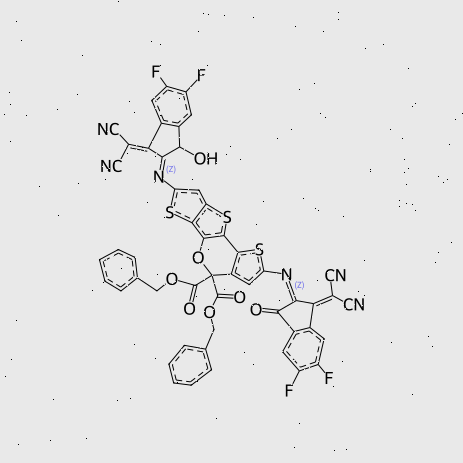 N#CC(C#N)=C1/C(=N/c2cc3c(s2)-c2sc4cc(/N=C5/C(=C(C#N)C#N)c6cc(F)c(F)cc6C5O)sc4c2OC3(C(=O)OCc2ccccc2)C(=O)OCc2ccccc2)C(=O)c2cc(F)c(F)cc21